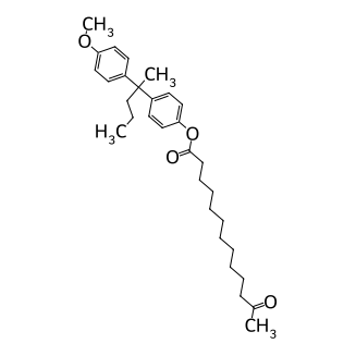 CCCC(C)(c1ccc(OC)cc1)c1ccc(OC(=O)CCCCCCCCCCC(C)=O)cc1